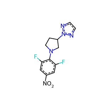 O=[N+]([O-])c1cc(F)c(N2CCC(n3nccn3)C2)c(F)c1